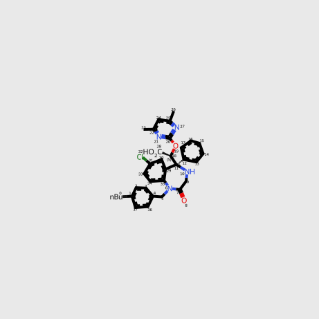 CCCCc1ccc(CN2C(=O)CN[C@](c3ccccc3)([C@H](Oc3nc(C)cc(C)n3)C(=O)O)c3cc(Cl)ccc32)cc1